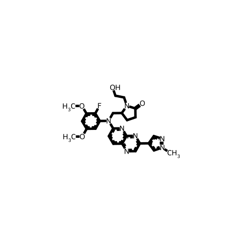 COc1cc(OC)c(F)c(N(CC2CCC(=O)N2CCO)c2ccc3ncc(-c4cnn(C)c4)nc3n2)c1